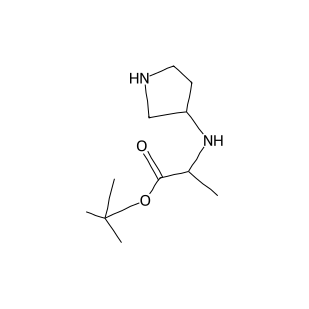 CC(NC1CCNC1)C(=O)OC(C)(C)C